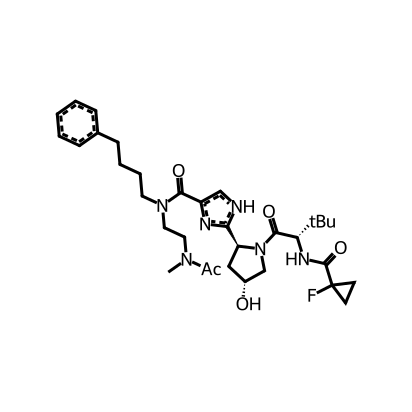 CC(=O)N(C)CCN(CCCCc1ccccc1)C(=O)c1c[nH]c([C@@H]2C[C@@H](O)CN2C(=O)[C@@H](NC(=O)C2(F)CC2)C(C)(C)C)n1